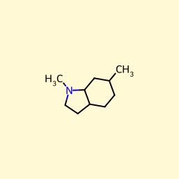 CC1CCC2CCN(C)C2C1